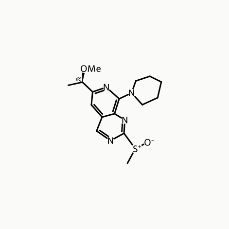 CO[C@H](C)c1cc2cnc([S+](C)[O-])nc2c(N2CCCCC2)n1